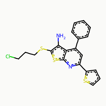 Nc1c(SCCCCl)sc2nc(-c3cccs3)cc(-c3ccccc3)c12